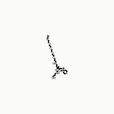 CC(C)(CCNCCCOCCOCCOCCOCCN=[N+]=[N-])C(CS(=O)(=O)N1CCSCC1)OC(=O)NCCCO